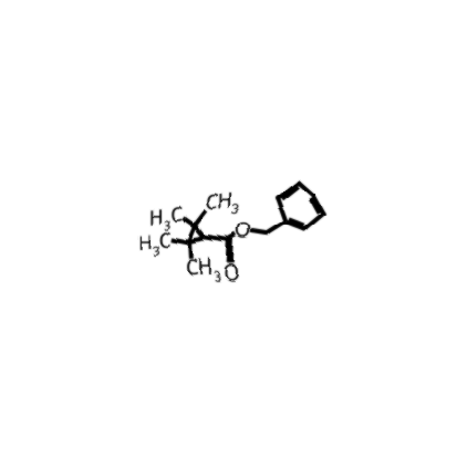 CC1(C)C(C(=O)OCc2ccccc2)C1(C)C